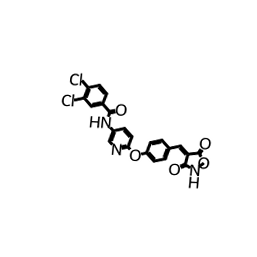 O=C1NOC(=O)/C1=C/c1ccc(Oc2ccc(NC(=O)c3ccc(Cl)c(Cl)c3)cn2)cc1